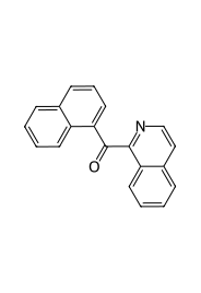 O=C(c1cccc2ccccc12)c1nccc2ccccc12